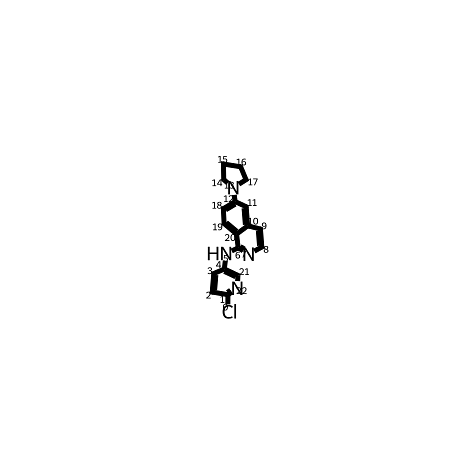 Clc1ccc(Nc2nccc3cc(N4CCCC4)ccc23)cn1